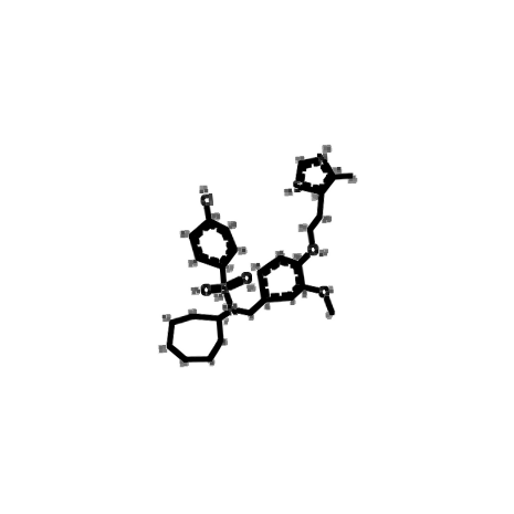 COc1cc(CN(C2CCCCCC2)S(=O)(=O)c2ccc(Cl)cc2)ccc1OCCc1scnc1C